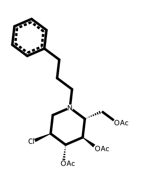 CC(=O)OC[C@@H]1[C@@H](OC(C)=O)[C@H](OC(C)=O)[C@@H](Cl)CN1CCCc1ccccc1